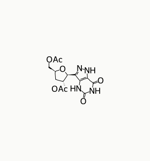 CC(=O)OC[C@@H]1C[C@@H](OC(C)=O)[C@H](c2n[nH]c3c(=O)[nH]c(=O)[nH]c23)O1